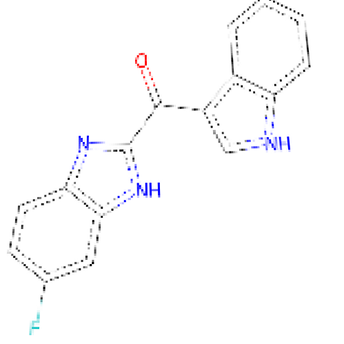 O=C(c1nc2ccc(F)cc2[nH]1)c1c[nH]c2ccccc12